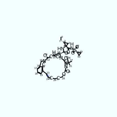 CC[C@@H]1C[C@]1(NC(=O)[C@@H]1C[C@H]2CC(=O)N3Cc4cccc(c4C3)/C=C/CCCCOC(=O)N[C@@H](C(C)(C)C)C(=O)N1C2)C(=O)NS(=O)(=O)C1CC1